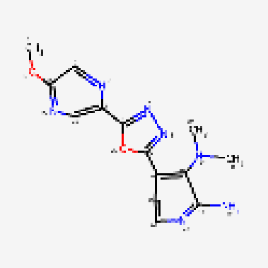 COc1cnc(-c2nnc(-c3ccnc(N)c3N(C)C)o2)cn1